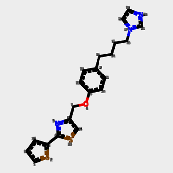 c1csc(-c2nc(COc3ccc(CCCCn4ccnc4)cc3)cs2)c1